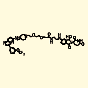 O=C(CCOCCOCCN1CCC(CNc2ccc3ncc(-c4cccc(OC(F)(F)F)c4)n3n2)CC1)NCCNc1ccc2c(c1)C(O)N(C1CCC(=O)NC1=O)C2=O